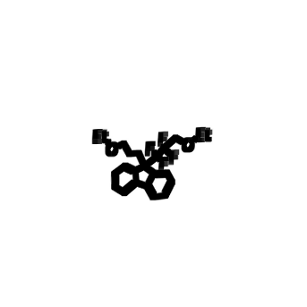 CCOCCCC1(C(F)(F)C(F)(F)COCC)c2ccccc2-c2ccccc21